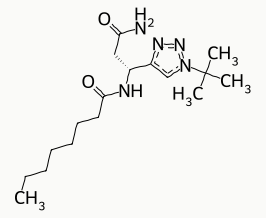 CCCCCCCC(=O)N[C@H](CC(N)=O)c1cn(C(C)(C)C)nn1